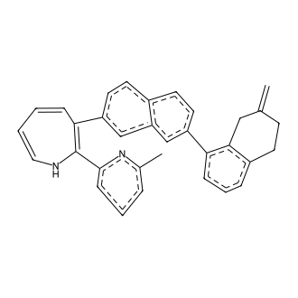 C=C1CCc2cccc(-c3ccc4ccc(C5=C(c6cccc(C)n6)NC=CC=C5)cc4c3)c2C1